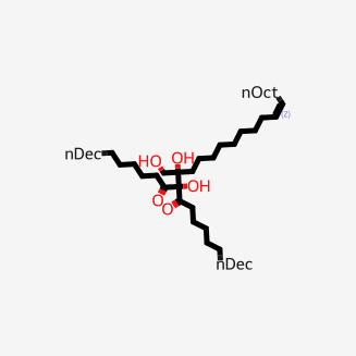 CCCCCCCC/C=C\CCCCCCCCC(O)(CO)C(O)(C(=O)CCCCCCCCCCCCCCC)C(=O)CCCCCCCCCCCCCCC